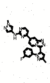 Cc1cc(-c2nnc3cc(-c4ccnc(Nc5cnn(C)c5)n4)ccn23)n(-c2cccc(F)c2)n1